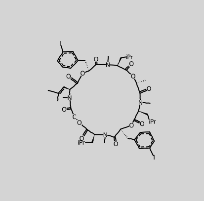 CC(C)=C[C@H]1C(=O)O[C@H](Cc2cccc(I)c2)C(=O)N(C)[C@@H](CC(C)C)C(=O)O[C@H](C)C(=O)N(C)[C@@H](CC(C)C)C(=O)O[C@H](Cc2cccc(I)c2)C(=O)N(C)[C@@H](CC(C)C)C(=O)OCC(=O)N1C